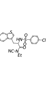 CCN(C#N)C(=O)C(Cc1csc2ccccc12)NS(=O)(=O)c1ccc(Cl)cc1